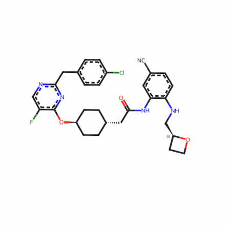 N#Cc1ccc(NC[C@@H]2CCO2)c(NC(=O)C[C@H]2CC[C@H](Oc3nc(Cc4ccc(Cl)cc4)ncc3F)CC2)c1